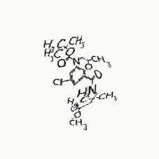 CCOC(=O)CC(C)(C)CNC(=O)c1cc(Cl)cc2c1OC(C)CN2C(=O)OC(C)(C)C